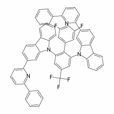 Fc1cc(F)cc(-c2c(-n3c4ccccc4c4ccc(-c5cccc(-c6ccccc6)n5)cc43)cc(C(F)(F)F)cc2-n2c3ccccc3c3ccc(-c4cccc(-c5ccccc5)n4)cc32)c1